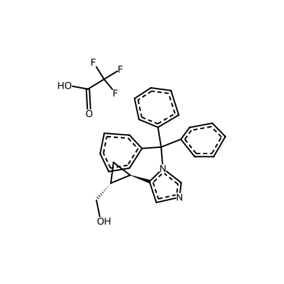 O=C(O)C(F)(F)F.OC[C@@H]1C[C@H]1c1cncn1C(c1ccccc1)(c1ccccc1)c1ccccc1